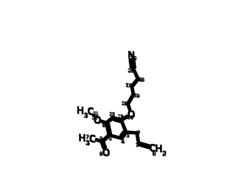 C=CCc1cc(C(C)=O)c(OC)cc1OCCCCC#N